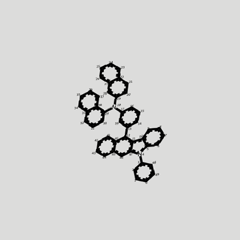 c1ccc(-n2c3ccccc3c3c(-c4cccc(N(c5ccc6ccccc6c5)c5cccc6ccccc56)c4)c4ccccc4cc32)cc1